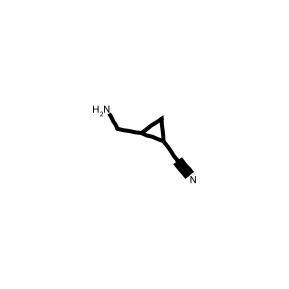 N#CC1CC1CN